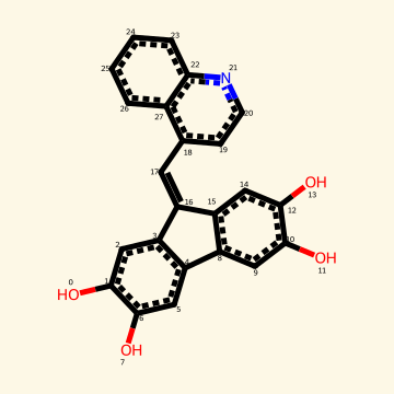 Oc1cc2c(cc1O)-c1cc(O)c(O)cc1C2=Cc1ccnc2ccccc12